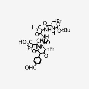 CC(C)C[C@H](NC(=O)OC(C)(C)C)C(=O)N[C@@H](C)C(=O)NCC(=O)N[C@H](C(=O)C(C(=O)N[C@H]([C]=O)C(C(=O)O)C(C)C)c1ccc(C=O)cc1)C(C)C